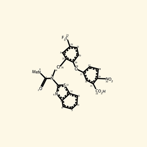 CNC(=O)N(C)c1nc2ccccc2s1.O=C(O)c1cc(Oc2ccc(C(F)(F)F)cc2Cl)ccc1[N+](=O)[O-]